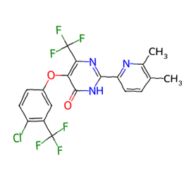 Cc1ccc(-c2nc(C(F)(F)F)c(Oc3ccc(Cl)c(C(F)(F)F)c3)c(=O)[nH]2)nc1C